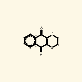 O=C1C2=C(SCCS2)C(=O)c2ccccc21